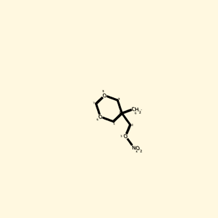 [CH2]C1(CO[N+](=O)[O-])COCOC1